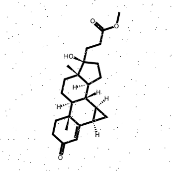 COC(=O)CC[C@]1(O)CC[C@H]2[C@@H]3[C@H]4C[C@H]4C4=CC(=O)CC[C@]4(C)[C@H]3CC[C@@]21C